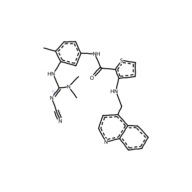 Cc1ccc(NC(=O)c2sccc2NCc2ccnc3ccccc23)cc1N/C(=N/C#N)N(C)C